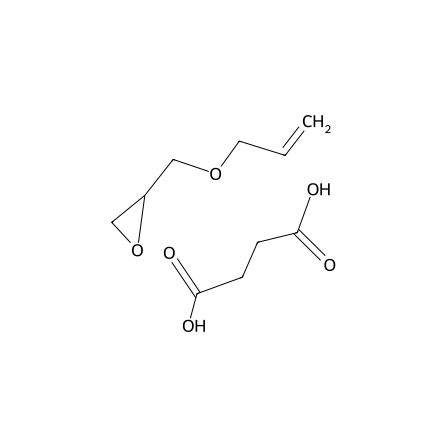 C=CCOCC1CO1.O=C(O)CCC(=O)O